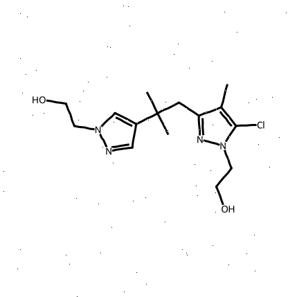 Cc1c(CC(C)(C)c2cnn(CCO)c2)nn(CCO)c1Cl